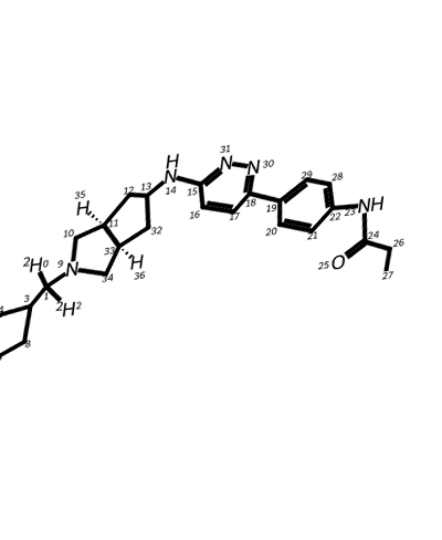 [2H]C([2H])(C1CCOCC1)N1C[C@H]2CC(Nc3ccc(-c4ccc(NC(=O)CC)cc4)nn3)C[C@H]2C1